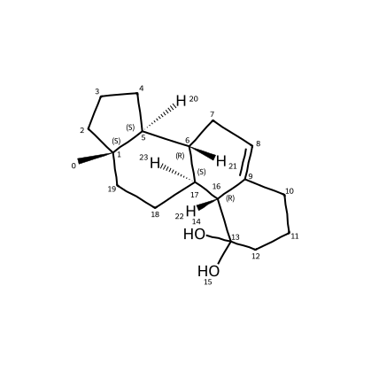 C[C@@]12CCC[C@H]1[C@@H]1CC=C3CCCC(O)(O)[C@@H]3[C@H]1CC2